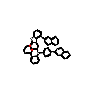 c1ccc(-c2ccccc2N(c2ccc(-c3ccc4ccccc4c3)cc2)c2ccc3sc4cccc(-c5ccc6ccccc6c5)c4c3c2)cc1